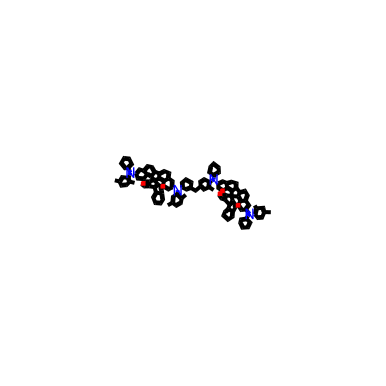 Cc1ccc(N(c2ccccc2)c2ccc3c4c(ccc3c2)-c2ccc3cc(N(c5ccccc5)c5ccc(Cc6cccc(N(c7ccc8c9c(ccc8c7)-c7ccc8cc(N(c%10ccccc%10)c%10cc(C)ccc%10C)ccc8c7C97c8ccccc8-c8c7ccc7ccccc87)c7cc(C)ccc7C)c6)cc5C)ccc3c2C42c3ccccc3-c3c2ccc2ccccc32)c(C)c1